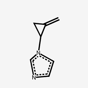 C=C1CC1n1ccnc1